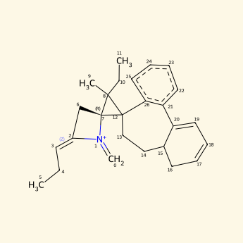 C=[N+]1/C(=C\CC)C[C@]12C(C)(CC)C21CCC2CC=CC=C2c2ccccc21